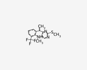 C=C(c1ccnc(SC)n1)c1cccc(C(F)(F)F)c1NC